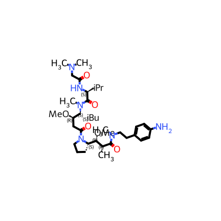 CC[C@H](C)[C@@H]([C@@H](CC(=O)N1CCC[C@H]1[C@H](OC)[C@@H](C)C(=O)N(C)CCc1ccc(N)cc1)OC)N(C)C(=O)[C@@H](NC(=O)CN(C)C)C(C)C